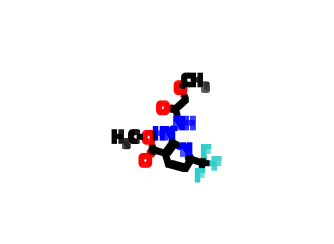 COCC(=O)NNc1nc(C(F)(F)F)ccc1C(=O)OC